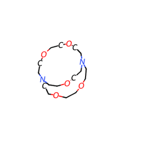 C1COCCN2CCOCCOCCN(CCO1)CCOCC2